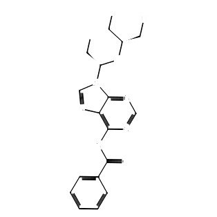 [2H]C[C@H](CO)O[C@H](CO)n1cnc2c(NC(=O)c3ccccc3)ncnc21